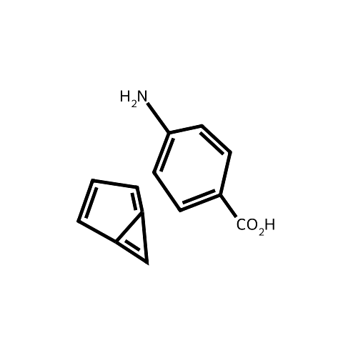 Nc1ccc(C(=O)O)cc1.c1cc2cc-2c1